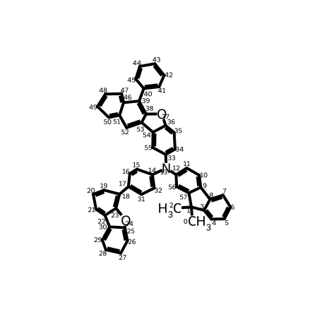 CC1(C)c2ccccc2-c2ccc(N(c3ccc(-c4cccc5c4oc4ccccc45)cc3)c3ccc4oc5c(-c6ccccc6)c6ccccc6cc5c4c3)cc21